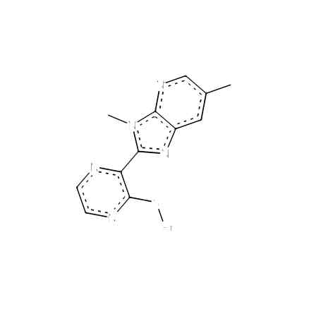 CCSc1nccnc1-c1nc2cc(C)cnc2n1C